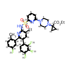 CCOC(=O)C1(N2CCN(c3cccc(S(=O)(=O)Nc4nc(-c5cc(F)ccc5C)c(-c5ccc(F)c(F)c5F)cc4CC)n3)CC2)CC1